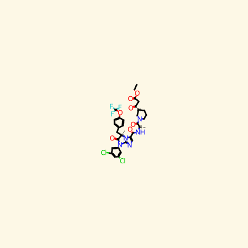 CCOC(=O)CC(=O)[C@@H]1CCCN(C(=O)[C@H](C)NC(=O)c2cnc3n2[C@](C)(Cc2ccc(OC(F)(F)F)cc2)C(=O)N3c2cc(Cl)cc(Cl)c2)C1